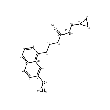 COc1ccc2cccc(CCCC(=O)NCC3CC3)c2c1